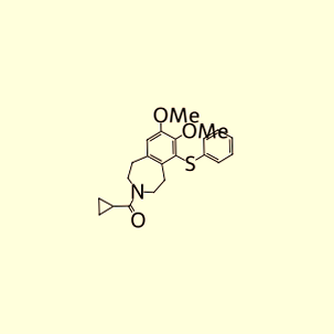 COc1cc2c(c(Sc3ccccc3)c1OC)CCN(C(=O)C1CC1)CC2